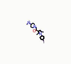 Cc1cc(C(=O)CN2CCC(N(C)C)CC2)c(C)n1-c1ccc(I)cc1